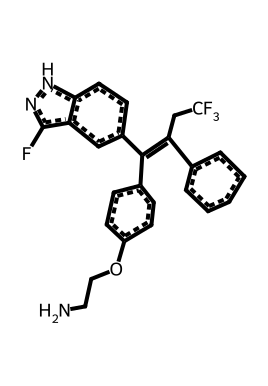 NCCOc1ccc(/C(=C(/CC(F)(F)F)c2ccccc2)c2ccc3[nH]nc(F)c3c2)cc1